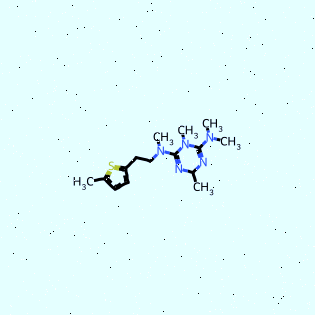 Cc1ccc(CCN(C)C2=NC(C)N=C(N(C)C)N2C)s1